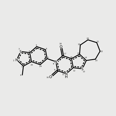 Cc1nsc2ccc(-n3c(=O)[nH]c4sc5c(c4c3=O)CCCCC5)cc12